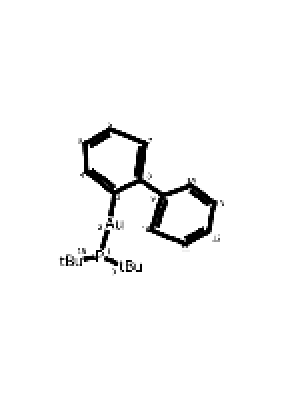 CC(C)(C)[P]([Au][c]1ccccc1-c1ccccc1)C(C)(C)C